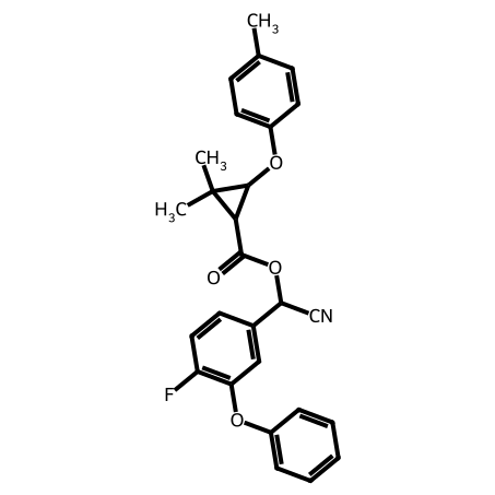 Cc1ccc(OC2C(C(=O)OC(C#N)c3ccc(F)c(Oc4ccccc4)c3)C2(C)C)cc1